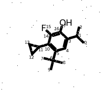 CC(C)c1cc(C(C)(C)C)c(C2CC2)c(F)c1O